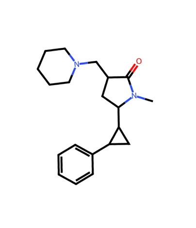 CN1C(=O)C(CN2CCCCC2)CC1C1CC1c1ccccc1